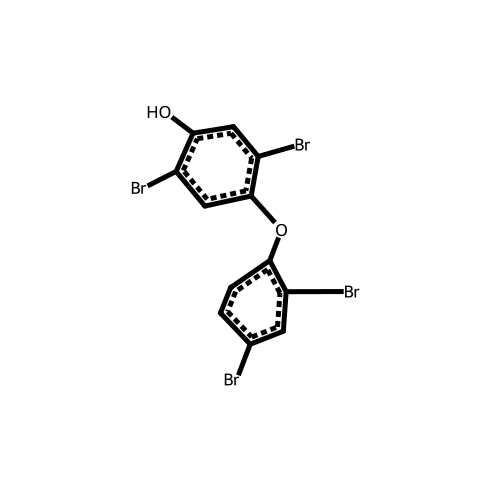 Oc1cc(Br)c(Oc2ccc(Br)cc2Br)cc1Br